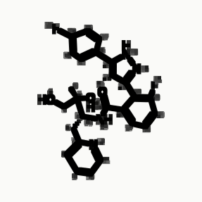 C[C@](O)(CO)[C@@H](Cc1ccccn1)NC(=O)c1cccc(F)c1-c1cc(-c2ccc(F)cc2)[nH]n1